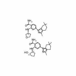 Cc1nn(-c2ccc(C(N)=O)c(N[C@H]3CCC[C@@H]3O)c2)c2c1CCC(C)(C)C2.Cc1nn(-c2ccc(C(N)=O)c(N[C@H]3CCOC3)c2)c2c1CCC(C)(C)C2